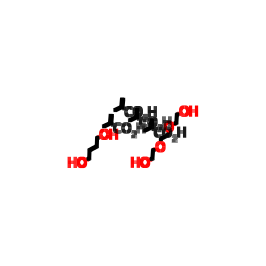 C=C(C)C(=O)O.C=C(C)C(=O)O.C=C(C)C(=O)O.C=C(C)C(=O)O.OCCCCO.OCCOCCOCCO